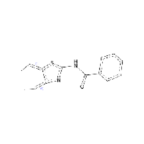 C/C=c1/nc(NC(=O)c2ccccc2)s/c1=C/C